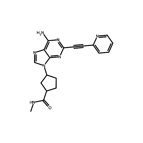 CNC(=O)C1CCC(n2cnc3c(N)nc(C#Cc4ccccn4)nc32)C1